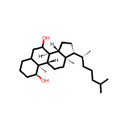 CC(C)CCC[C@@H](C)[C@H]1CC[C@H]2[C@@H]3C(O)CC4CCC[C@H](O)[C@]4(C)[C@H]3CC[C@]12C